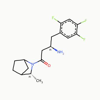 C[C@@H]1C2CCC(C2)N1C(=O)C[C@H](N)Cc1cc(F)c(F)cc1F